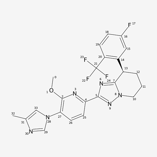 COc1nc(-c2nc3n(n2)CCC[C@@H]3c2cc(F)ccc2C(F)(F)F)ccc1-n1cnc(C)c1